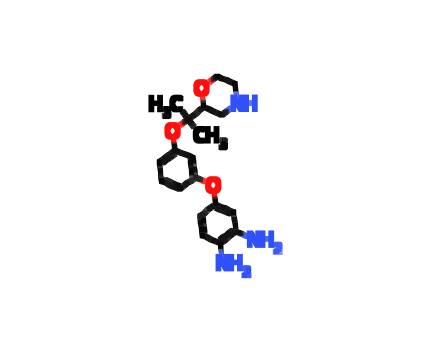 CC(C)(Oc1cccc(Oc2ccc(N)c(N)c2)c1)C1CNCCO1